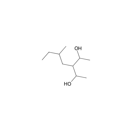 CCC(C)CC(C(C)O)C(C)O